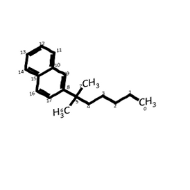 CCCCCC(C)(C)c1[c]c2ccccc2cc1